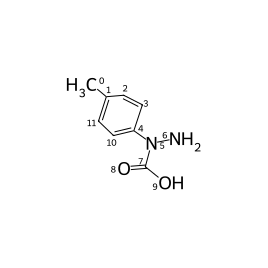 Cc1ccc(N(N)C(=O)O)cc1